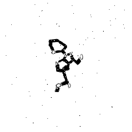 COC(=O)c1cnc2c(c1)c(C=O)nn2C1CCCCO1